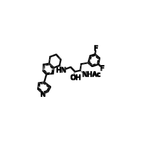 CC(=O)N[C@@H](Cc1cc(F)cc(F)c1)[C@H](O)CN[C@H]1CCCc2ccc(-c3ccncc3)cc21